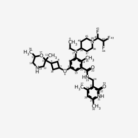 CCN(c1cc(OC2CC(C3(C)CNCC(C)O3)C2)cc(C(=O)NCc2c(C)cc(C)[nH]c2=O)c1C)C1CCN(C(F)C(F)F)CC1